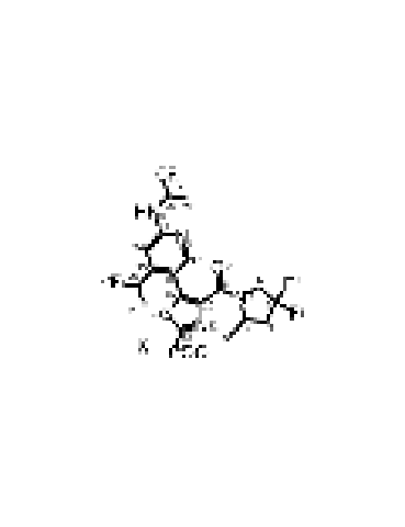 CC1CC(F)(F)CN1C(=O)c1nc(C(=O)[O-])sc1-c1cnc(NC(C)C(F)(F)F)cc1C(F)F.[K+]